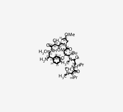 CC[C@H](C)[C@@H]([C@@H](CC(=O)N1C[C@H](OC)C[C@H]1[C@H](OC)[C@@H](C)C(=O)N[C@@H](C)C(N)c1ccccc1)OC)N(C)C(=O)[C@@H](NC(=O)[C@H](C(C)C)N(C)C)C(C)C